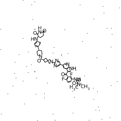 CCN(C)S(=O)(=O)Nc1ccc(F)c(C(=O)c2c[nH]c3ncc(-c4cnc(N5CC6(CC(C(=O)N7CCC(c8ccc(NC9CCC(=O)NC9=O)cc8)CC7)C6)C5)nc4)cc23)c1F